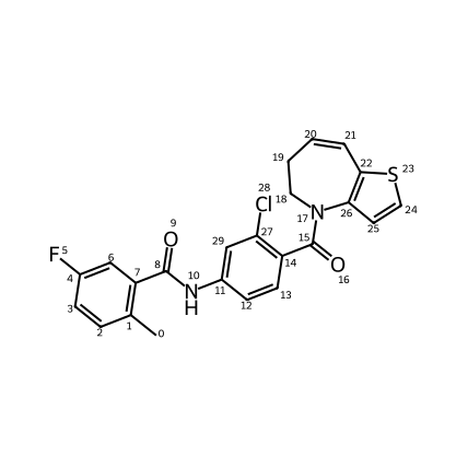 Cc1ccc(F)cc1C(=O)Nc1ccc(C(=O)N2CCC=Cc3sccc32)c(Cl)c1